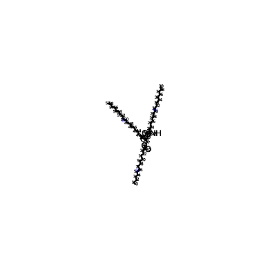 CCCCC/C=C/CCCCCCCC(=O)OCC(COC(=N)CCCCCCC/C=C/CCCCCCCC)OC(=O)CCCCCCC/C=C/CCCCCCCC